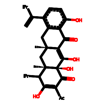 C=C(c1ccc(O)c2c1C[C@]1(C)C[C@]3(C)C(C(C)C)C(O)=C(C(C)=O)C(=O)[C@]3(O)C(O)=C1C2=O)C(C)C